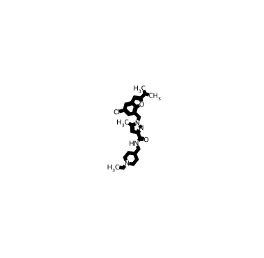 CCN1CCC(CNC(=O)c2cc(C)n(Cc3cc(Cl)cc4cc(C(C)C)oc34)n2)CC1